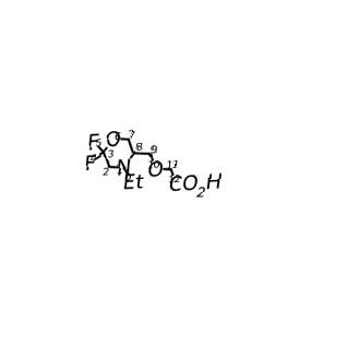 CCN1CC(F)(F)OCC1COCC(=O)O